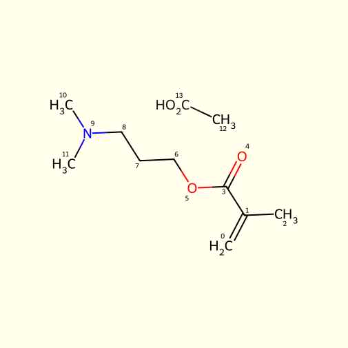 C=C(C)C(=O)OCCCN(C)C.CC(=O)O